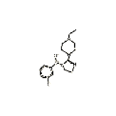 CCN1CCN(C2=NCCN2[S+]([O-])c2cccc(Cl)c2)CC1